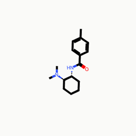 Cc1ccc(C(=O)N[C@@H]2CCCC[C@H]2N(C)C)cc1